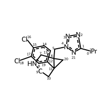 CC(C)c1nnn(CC23CNCCC2(c2ccc(Cl)c(Cl)c2)C3)n1